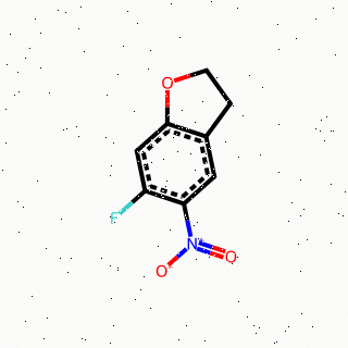 O=[N+]([O-])c1cc2c(cc1F)OCC2